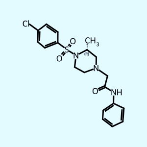 C[C@@H]1CN(CC(=O)Nc2ccccc2)CCN1S(=O)(=O)c1ccc(Cl)cc1